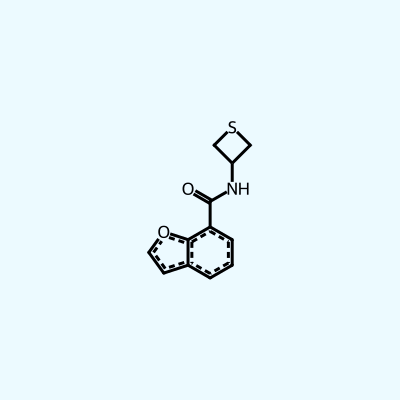 O=C(NC1CSC1)c1cccc2ccoc12